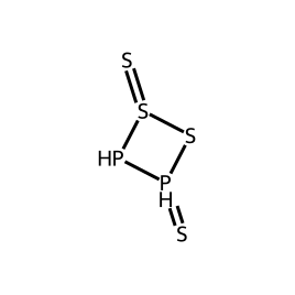 S=[PH]1PS(=S)S1